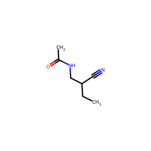 CCC(C#N)CNC(C)=O